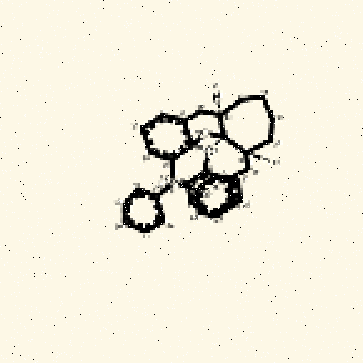 Cc1cccc2c1O[C@]13Oc4c(cccc4P(c4ccccc4)c4ccccc4)C[C@H]1CCCC[C@@H]3C2